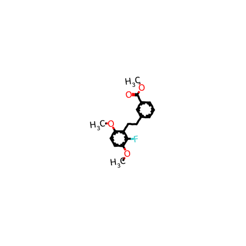 COC(=O)c1cccc(CCc2c(OC)ccc(OC)c2F)c1